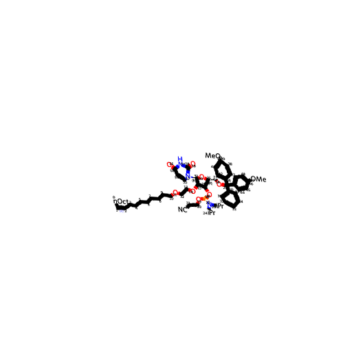 CCCCCCCC/C=C\CCCCCCCCOCCOC1C(OP(OCCC#N)N(C(C)C)C(C)C)[C@@H](COC(c2ccccc2)(c2ccc(OC)cc2)c2ccc(OC)cc2)O[C@H]1n1ccc(=O)[nH]c1=O